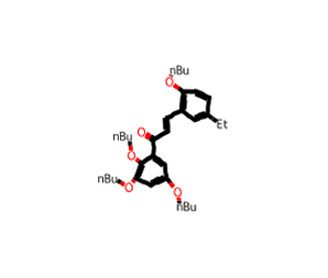 CCCCOc1cc(OCCCC)c(OCCCC)c(C(=O)C=Cc2cc(CC)ccc2OCCCC)c1